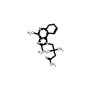 CC(=O)CC(C)(C)Cn1c(C)nc2c(C)nc3c(c21)C=CCC3